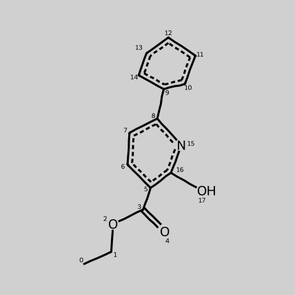 CCOC(=O)c1ccc(-c2ccccc2)nc1O